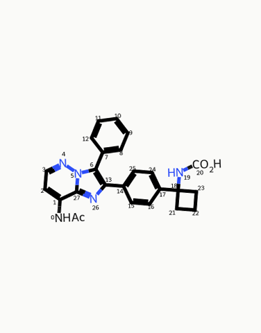 CC(=O)Nc1ccnn2c(-c3ccccc3)c(-c3ccc(C4(NC(=O)O)CCC4)cc3)nc12